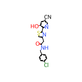 N#Cc1cnc(-c2nc(CC(=O)NCc3ccc(Cl)cc3)cs2)c(O)c1